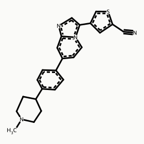 CN1CCC(c2ccc(-c3ccn4c(-c5csc(C#N)c5)cnc4c3)cc2)CC1